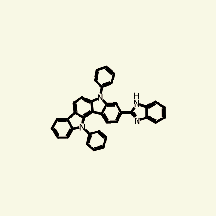 c1ccc(-n2c3cc(-c4nc5ccccc5[nH]4)ccc3c3c2ccc2c4ccccc4n(-c4ccccc4)c23)cc1